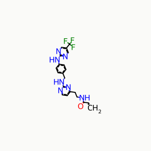 C=CC(=O)NCCc1ccnc(NCc2ccc(Nc3ncc(C(F)(F)F)cn3)cc2)n1